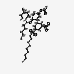 CCCCCCCCCS(=O)(=O)c1cc(-c2cn(OC(C)=O)cc(-c3cc(F)ccc3CCCCCC)c2=O)cc([N+](=O)[O-])c1